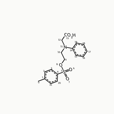 Cc1ccc(S(=O)(=O)OCCN(CC(=O)O)c2ccccc2)cc1